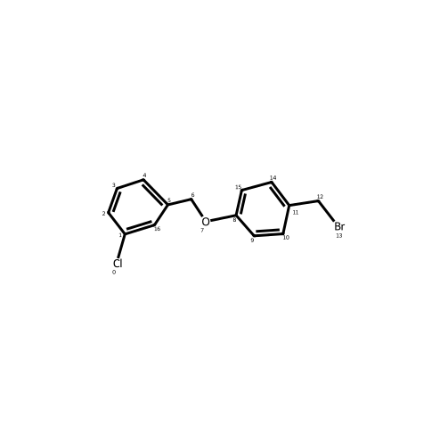 Clc1cccc(COc2ccc(CBr)cc2)c1